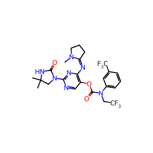 CN1CCCC1=Nc1nc(N2CC(C)(C)NC2=O)ncc1OC(=O)N(CC(F)(F)F)c1cccc(C(F)(F)F)c1